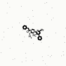 CC(C)c1cc(-c2ccccc2)c(C#N)c(N2CCN(C(=O)Cc3ccccc3)[C@H](C)C2)n1